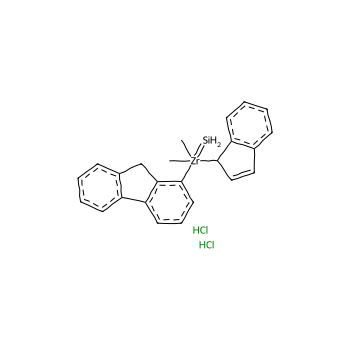 Cl.Cl.[CH3][Zr]([CH3])(=[SiH2])([c]1cccc2c1Cc1ccccc1-2)[CH]1C=Cc2ccccc21